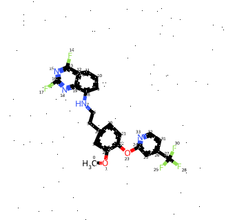 COc1cc(CCNc2cccc3c(F)nc(F)nc23)ccc1Oc1cc(C(F)(F)F)ccn1